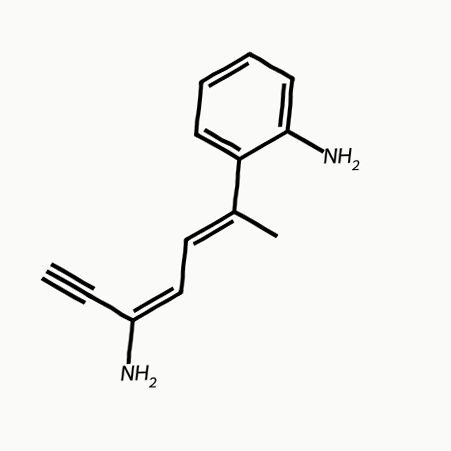 C#C/C(N)=C\C=C(/C)c1ccccc1N